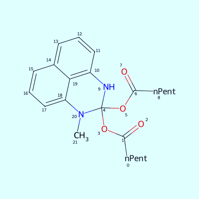 CCCCCC(=O)OC1(OC(=O)CCCCC)Nc2cccc3cccc(c23)N1C